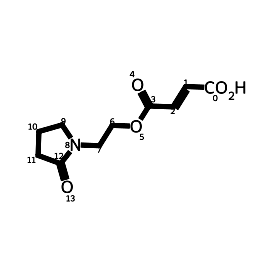 O=C(O)C=CC(=O)OCCN1CCCC1=O